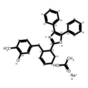 CC(=O)O.Cc1ccc(CC2C=CCCC2c2nc(-c3ccccc3)c(-c3ccccc3)o2)cc1[O-].[Na+]